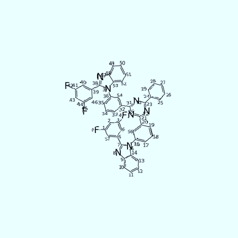 Fc1cc(F)cc(-c2nc3ccccc3n2-c2cccc(-c3nc(-c4ccccc4)nc(-c4cccc(-n5c(-c6cc(F)cc(F)c6)nc6ccccc65)c4)n3)c2)c1